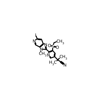 CCS(=O)(=O)c1cc(C(C)(C)C#N)cnc1-c1nc2cc(I)ncc2n1C